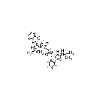 CC(C)NC(=O)N[C@@H](COC(=O)/C=C/C(=O)OC[C@@H](Cc1ccccc1)NC(=O)NC(C)C)Cc1ccccc1